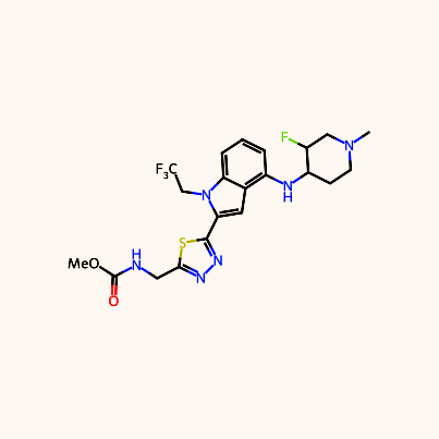 COC(=O)NCc1nnc(-c2cc3c(NC4CCN(C)CC4F)cccc3n2CC(F)(F)F)s1